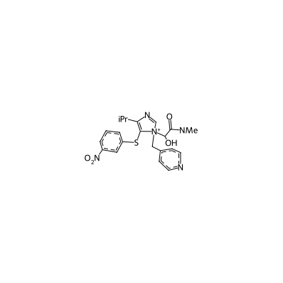 CNC(=O)C(O)[N+]1(Cc2ccncc2)C=NC(C(C)C)=C1Sc1cccc([N+](=O)[O-])c1